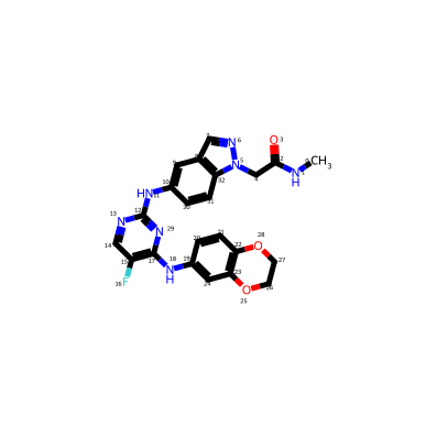 CNC(=O)Cn1ncc2cc(Nc3ncc(F)c(Nc4ccc5c(c4)OCCO5)n3)ccc21